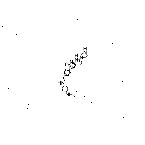 N[C@H]1CC[C@H](NCCc2ccc(-n3ccc(NC(=O)N4CCNCC4)nc3=O)cc2)CC1